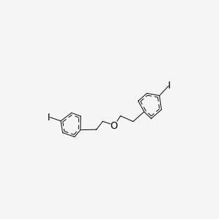 Ic1ccc(CCOCCc2ccc(I)cc2)cc1